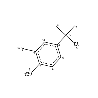 CCC(C)(C)c1ccc(C(C)(C)C)c(F)c1